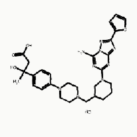 CC(O)(CC(=O)O)c1ccc(N2CCN(CC3CCCN(c4nc(N)n5nc(-c6ccco6)nc5n4)C3)CC2)cc1.Cl